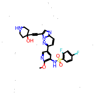 COc1ncc(-c2ccc3ncc(C#CC4(O)CCNCC4)n3n2)cc1NS(=O)(=O)c1ccc(F)cc1F